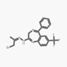 CC(CBr)=NNC1=Nc2ccc(C(F)(F)F)cc2C(c2ccccc2)=NC1